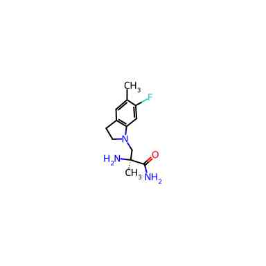 Cc1cc2c(cc1F)N(C[C@](C)(N)C(N)=O)CC2